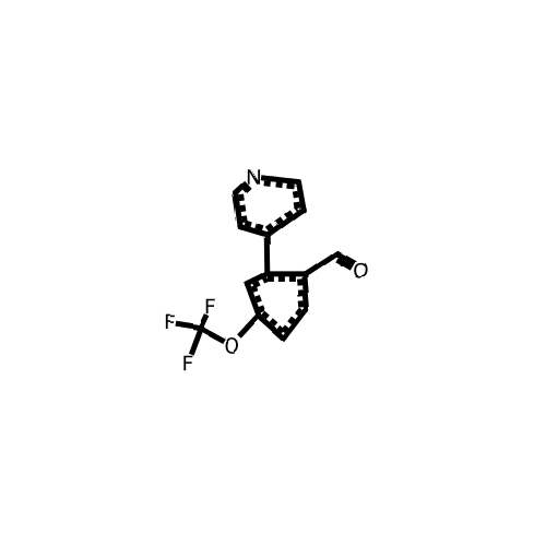 O=Cc1ccc(OC(F)(F)F)cc1-c1ccncc1